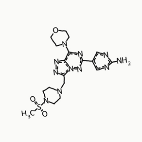 CS(=O)(=O)N1CCN(Cc2nnc3c(N4CCOCC4)nc(-c4cnc(N)nc4)nn23)CC1